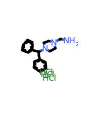 Cl.Cl.Cl.NCN1CCN(C(c2ccccc2)c2ccccc2)CC1